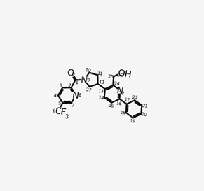 O=C(c1ccc(C(F)(F)F)cn1)N1CCC(c2ccc(-c3ccccc3)nc2CO)C1